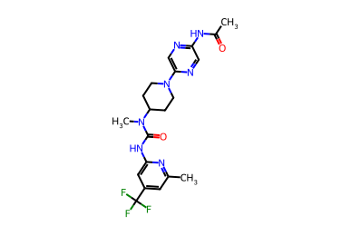 CC(=O)Nc1cnc(N2CCC(N(C)C(=O)Nc3cc(C(F)(F)F)cc(C)n3)CC2)cn1